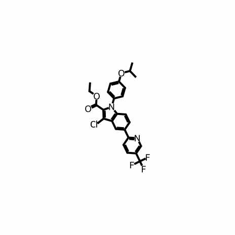 CCOC(=O)c1c(Cl)c2cc(-c3ccc(C(F)(F)F)cn3)ccc2n1-c1ccc(OC(C)C)cc1